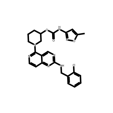 Cc1cc(NC(=O)OC2CCCN(c3nccc4nc(NCc5ccccc5Cl)ncc34)C2)no1